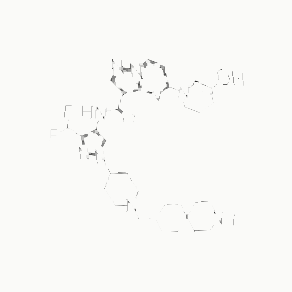 O=C(Nc1cn(C2CCN(CC3CCC4(CCNCC4)CC3)CC2)nc1C(F)F)c1cnn2ccc(N3CCC[C@H](O)C3)nc12